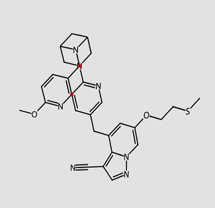 COc1ccc(CN2C3CC2CN(c2ccc(Cc4cc(OCCSC)cn5ncc(C#N)c45)cn2)C3)cn1